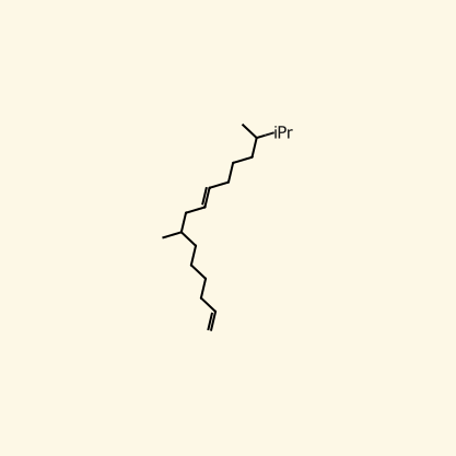 C=CCCCCC(C)CC=CCCCC(C)C(C)C